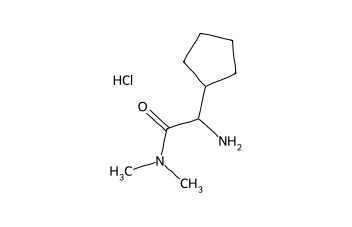 CN(C)C(=O)C(N)C1CCCC1.Cl